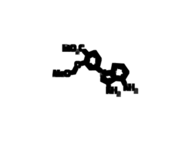 CCOC(=O)c1ccc(-n2cc(N)c3c(N)cccc32)cc1OCOC